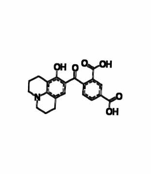 O=C(O)c1ccc(C(=O)c2cc3c4c(c2O)CCCN4CCC3)c(C(=O)O)c1